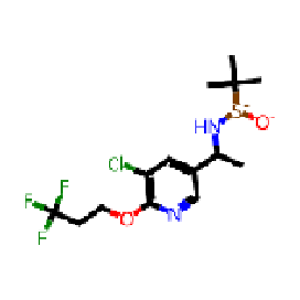 CC(N[S+]([O-])C(C)(C)C)c1cnc(OCCC(F)(F)F)c(Cl)c1